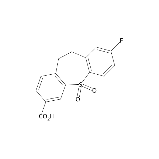 O=C(O)c1ccc2c(c1)S(=O)(=O)c1ccc(F)cc1CC2